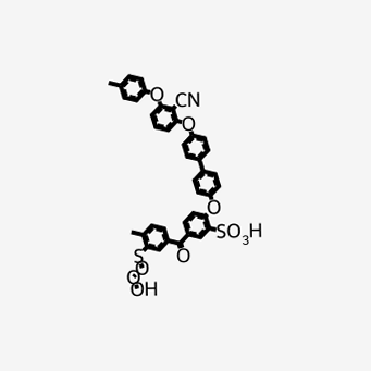 Cc1ccc(Oc2cccc(Oc3ccc(-c4ccc(Oc5ccc(C(=O)c6ccc(C)c(SOOO)c6)cc5S(=O)(=O)O)cc4)cc3)c2C#N)cc1